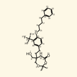 CC1(C)OCC(CO)(CCc2ccc(OCCCCc3ccccc3)c(C(F)(F)F)c2)NC(=O)O1